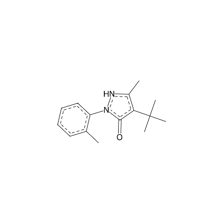 Cc1ccccc1-n1[nH]c(C)c(C(C)(C)C)c1=O